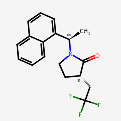 C[C@H](c1cccc2ccccc12)N1CC[C@@H](CC(F)(F)F)C1=O